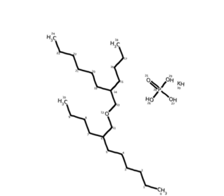 CCCCCCC(CCCC)COCC(CCCC)CCCCCC.O=P(O)(O)O.[KH]